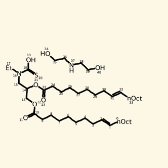 CCCCCCCCC=CCCCCCCCC(=O)OCC(CN(CC)C(O)=S)OC(=O)CCCCCCCC=CCCCCCCCC.OCCNCCO